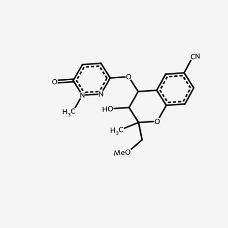 COCC1(C)Oc2ccc(C#N)cc2C(Oc2ccc(=O)n(C)n2)C1O